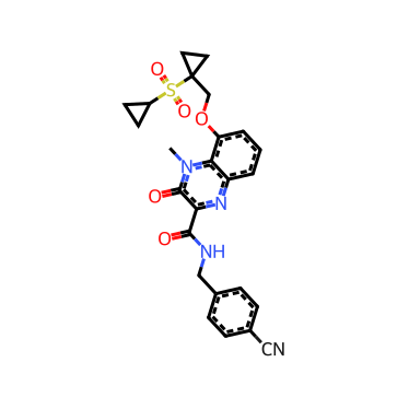 Cn1c(=O)c(C(=O)NCc2ccc(C#N)cc2)nc2cccc(OCC3(S(=O)(=O)C4CC4)CC3)c21